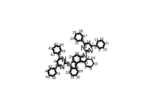 C1=Cc2c(n(-c3nc(-c4ccccc4)cc(-c4ccccc4)n3)c3ccc4c(c5ccccc5n4-c4nc(-c5ccccc5)cc(-c5ccccc5)n4)c23)CC1